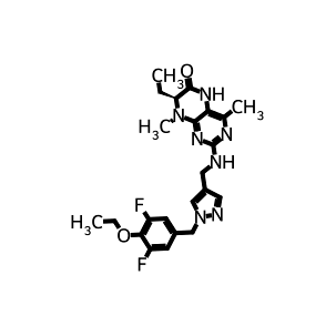 CCOc1c(F)cc(Cn2cc(CNc3nc(C)c4c(n3)N(C)[C@@H](CC)C(=O)N4)cn2)cc1F